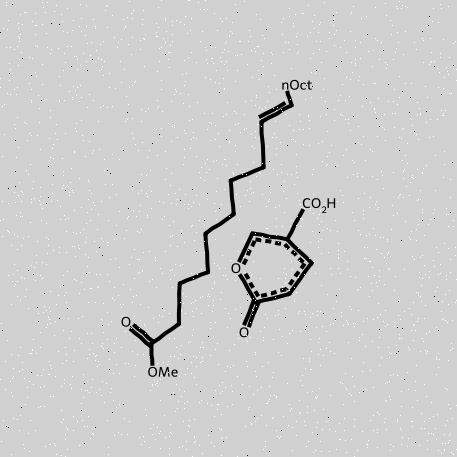 CCCCCCCCC=CCCCCCCCC(=O)OC.O=C(O)c1ccc(=O)oc1